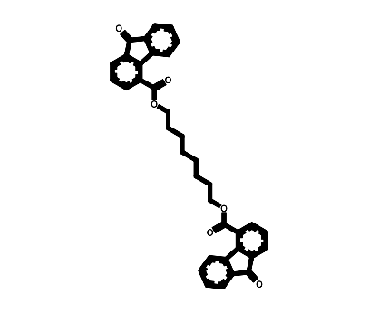 O=C(OCCCCCCCCOC(=O)c1cccc2c1-c1ccccc1C2=O)c1cccc2c1-c1ccccc1C2=O